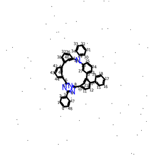 c1ccc(-c2nc3nc(n2)-c2ccc(-c4ccccc4)c(c2)-c2cccc(c2)N(c2ccccc2)c2cccc(c2)-c2cccc-3c2)cc1